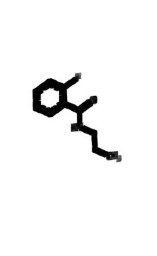 CCCNC(=O)c1ccccc1F